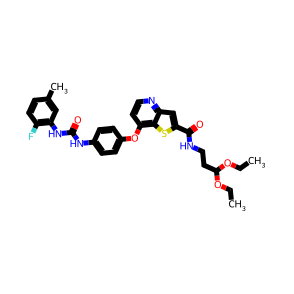 CCOC(CCNC(=O)c1cc2nccc(Oc3ccc(NC(=O)Nc4cc(C)ccc4F)cc3)c2s1)OCC